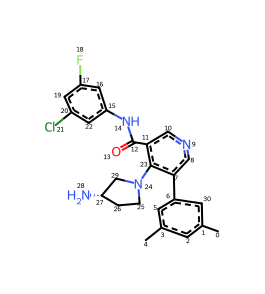 Cc1cc(C)cc(-c2cncc(C(=O)Nc3cc(F)cc(Cl)c3)c2N2CC[C@H](N)C2)c1